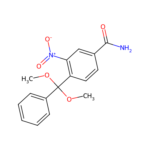 COC(OC)(c1ccccc1)c1ccc(C(N)=O)cc1[N+](=O)[O-]